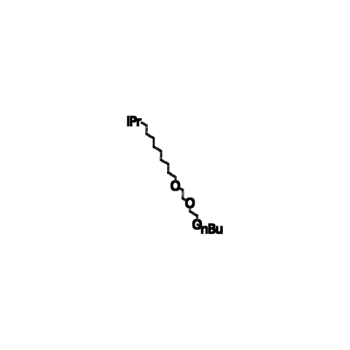 CCCCOCCOCCOCCCCCCCCCC(C)C